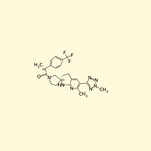 Cc1nc2c(cc1-c1nnn(C)n1)CC[C@@]1(CCN(C(=O)[C@H](C)c3ccc(C(F)(F)F)cc3)C1)N2